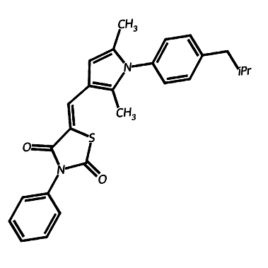 Cc1cc(C=C2SC(=O)N(c3ccccc3)C2=O)c(C)n1-c1ccc(CC(C)C)cc1